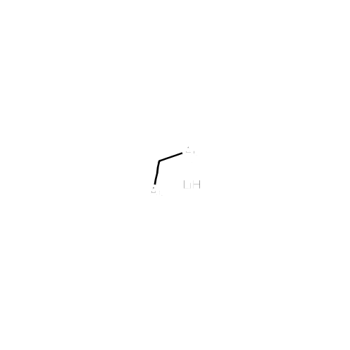 [CH2]C(=O)CC(C)=O.[LiH]